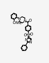 COc1ccccc1N1CCN(C(=O)c2ccc(S(=O)(=O)n3cnc(-c4ccccc4)n3)cc2)CC1